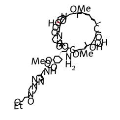 CCOCCC(=O)N1CCN(c2ncc(CNC(=O)O[C@@H]3CC[C@@H](C[C@@H](N)[C@@H]4C[C@@H](OC)[C@H](C)/C=C(\C)[C@@H](O)[C@@H](O)C(=O)C(C)C[C@H](C)/C=C/C=C/C=C(\C)[C@@H](OC)C[C@@H]5CC[C@@H](C)[C@@](O)(O5)C(=O)C(=O)N5CCCC[C@H]5C(=O)O4)C[C@H]3OC)cn2)CC1